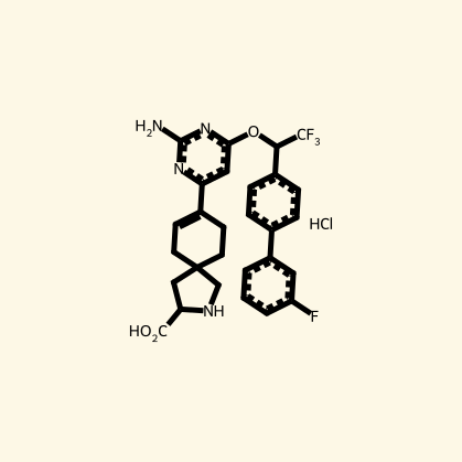 Cl.Nc1nc(OC(c2ccc(-c3cccc(F)c3)cc2)C(F)(F)F)cc(C2=CCC3(CC2)CNC(C(=O)O)C3)n1